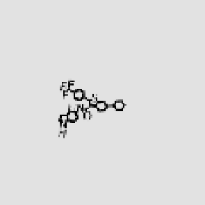 O=C(Nc1ccc2[nH]ccc2c1)c1c(-c2ccc(C(F)(F)F)cc2)sc2cc(-c3ccccc3)ccc12